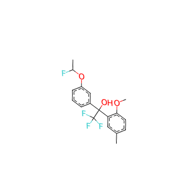 COc1ccc(C)cc1C(O)(c1cccc(OC(C)F)c1)C(F)(F)F